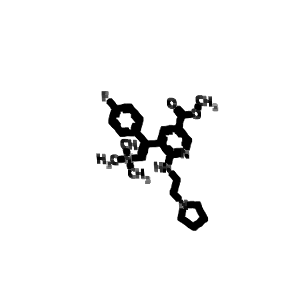 COC(=O)c1cnc(NCCN2CCCC2)c(C(=C[Si](C)(C)C)c2ccc(F)cc2)c1